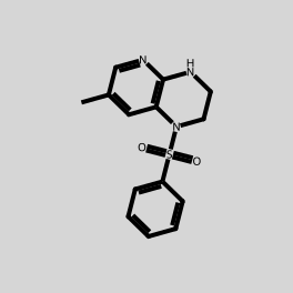 Cc1cnc2c(c1)N(S(=O)(=O)c1ccccc1)CCN2